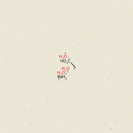 CC(=O)O.O.O.O.[BaH2]